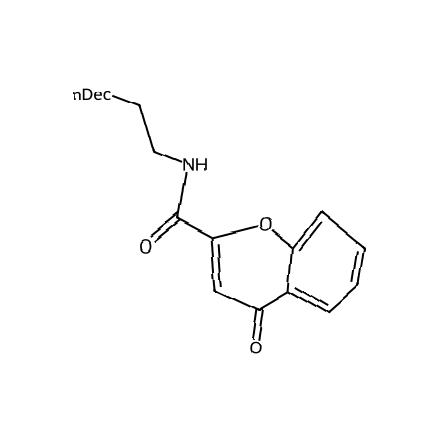 CCCCCCCCCCCCNC(=O)c1cc(=O)c2ccccc2o1